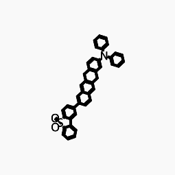 O=S1(=O)c2ccccc2-c2cc(-c3ccc4cc5c(cc4c3)Cc3ccc(N(c4ccccc4)c4ccccc4)cc3C5)ccc21